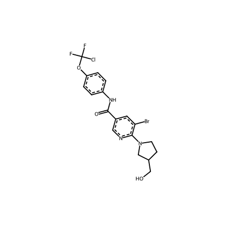 O=C(Nc1ccc(OC(F)(F)Cl)cc1)c1cnc(N2CCC(CO)C2)c(Br)c1